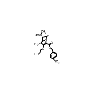 CC(O)[C@@H]1C(=O)N2C(C(=O)OCc3ccc([N+](=O)[O-])cc3)=C(SCCO)[C@@H](C)C12